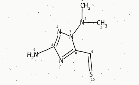 CN(C)n1nc(N)nc1C=S